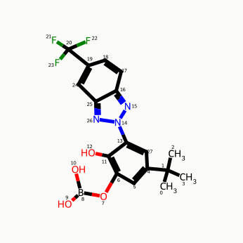 CC(C)(C)c1cc(OB(O)O)c(O)c(-n2nc3ccc(C(F)(F)F)cc3n2)c1